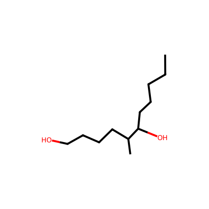 CCCCCC(O)C(C)CCCCO